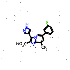 O=C(O)c1nc2c(C(F)(F)F)cc(-c3cccc(F)c3)cn2c1-c1cn[nH]c1